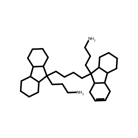 NCCCC1(CCCCC2(CCCN)C3CCCCC3C3CCCCC32)C2CC=CCC2C2CCCCC21